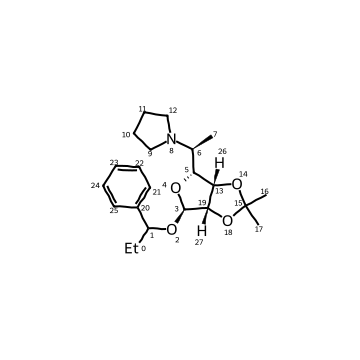 CCC(O[C@H]1O[C@H]([C@H](C)N2CCCC2)[C@@H]2OC(C)(C)O[C@H]12)c1ccccc1